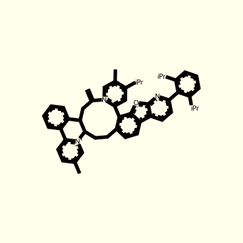 C=C1CC2c3ccccc3-c3ccc(C)c[n+]3C2CCc2ccc3c(oc4nc(-c5c(C(C)C)cccc5C(C)C)ccc43)c2-c2cc(C(C)C)c(C)c[n+]21